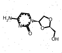 Nc1ccn([C@H]2CO[C@@H](CO)O2)c(=O)n1